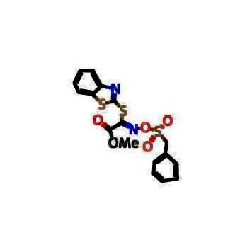 COC(=O)/C(=N/OS(=O)(=O)Cc1ccccc1)Sc1nc2ccccc2s1